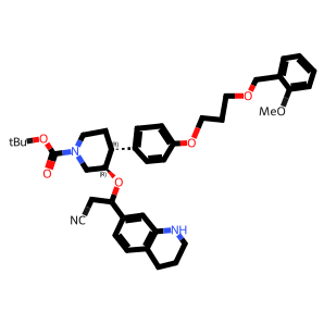 COc1ccccc1COCCCOc1ccc([C@H]2CCN(C(=O)OC(C)(C)C)C[C@@H]2OC(CC#N)c2ccc3c(c2)NCCC3)cc1